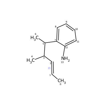 C/C=C/C(C)C(C)c1ccccc1N